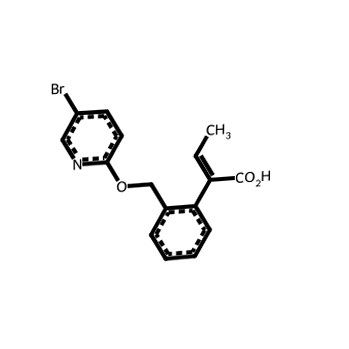 CC=C(C(=O)O)c1ccccc1COc1ccc(Br)cn1